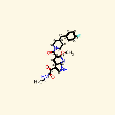 CCNC(=O)C(=O)c1c[nH]c2nc(OC)c(C(=O)N3CCC(Cc4ccc(F)cc4)CC3)cc12